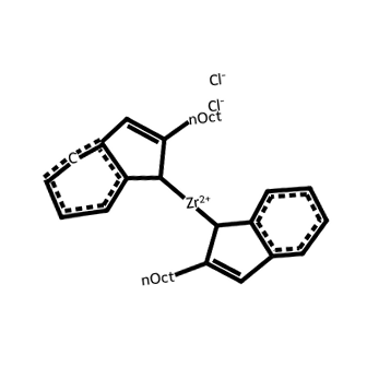 CCCCCCCCC1=Cc2ccccc2[CH]1[Zr+2][CH]1C(CCCCCCCC)=Cc2ccccc21.[Cl-].[Cl-]